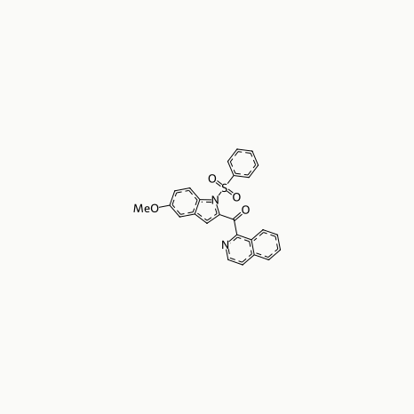 COc1ccc2c(c1)cc(C(=O)c1nccc3ccccc13)n2S(=O)(=O)c1ccccc1